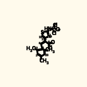 Cc1cc(C)c(/C=C(\C(=O)Cl)c2csc(NP(=O)(Cl)Cl)n2)c(C)c1